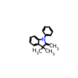 C=C1N(c2ccccc2)c2ccccc2C1(C)C